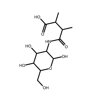 CC(C(=O)O)C(C)C(=O)NC1C(O)OC(CO)C(O)C1O